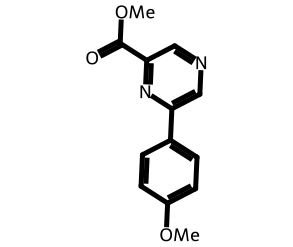 COC(=O)c1cncc(-c2ccc(OC)cc2)n1